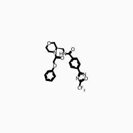 O=C(NC[C@@H]1COCCN1C(=O)COc1ccccc1)c1ccc(-c2noc(C(F)(F)F)n2)cc1